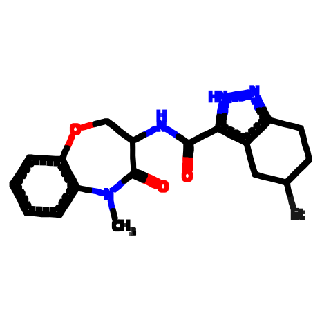 CCC1CCc2n[nH]c(C(=O)NC3COc4ccccc4N(C)C3=O)c2C1